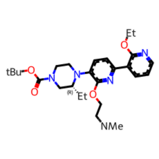 CCOc1ncccc1-c1ccc(N2CCN(C(=O)OC(C)(C)C)C[C@H]2CC)c(OCCNC)n1